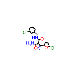 Nc1onc(-c2ccc(Cl)o2)c1C(=O)NCc1cccc(Cl)c1